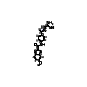 COc1ccc2nc(C(=O)Nc3ccc(/C(C)=N/NC(=N)N)cc3)sc2c1